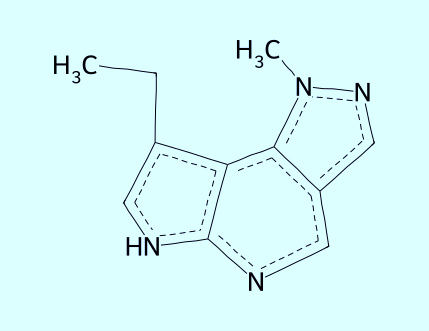 CCc1c[nH]c2ncc3cnn(C)c3c12